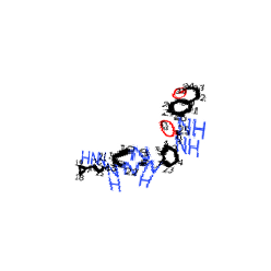 O=C(Nc1ccc(Nc2nccc(Nc3cc(C4CC4)[nH]n3)n2)cc1)Nc1ccc2c(c1)CCCO2